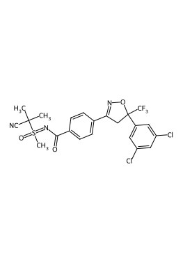 CC(C)(C#N)S(C)(=O)=NC(=O)c1ccc(C2=NOC(c3cc(Cl)cc(Cl)c3)(C(F)(F)F)C2)cc1